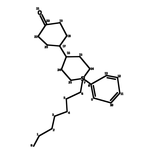 CCCCCCC[Si]1(c2ccccc2)CCC(C2CCC(=O)CC2)CC1